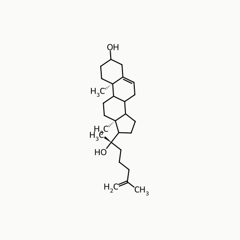 C=C(C)CCC[C@](C)(O)C1CCC2C3CC=C4CC(O)CC[C@]4(C)C3CC[C@@]21C